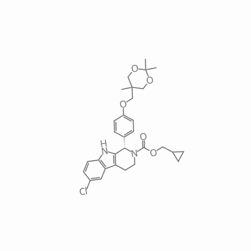 CC1(COc2ccc([C@H]3c4[nH]c5ccc(Cl)cc5c4CCN3C(=O)OCC3CC3)cc2)COC(C)(C)OC1